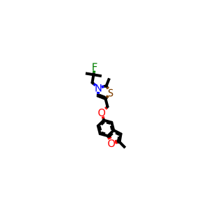 Cc1cc2cc(OCC3=CN(CC(C)(C)F)C(C)S3)ccc2o1